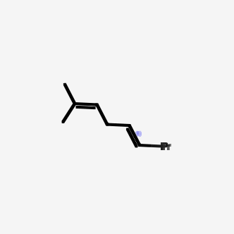 CC(C)=CC/C=C/C(C)C